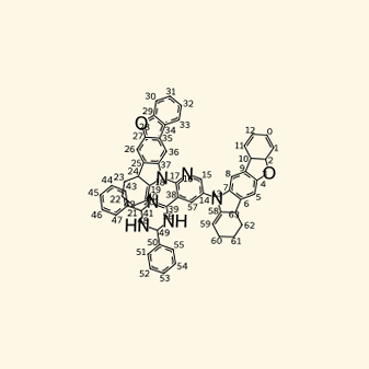 C1=CC2Oc3cc4c(cc3C2C=C1)N(c1cnc(N2C3=CCCCC3c3cc5oc6ccccc6c5cc32)c(C2=NC(c3ccccc3)NC(c3ccccc3)N2)c1)C1=CCCCC14